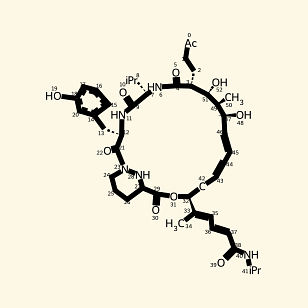 CC(=O)CC[C@H]1C(=O)N[C@@H](C(C)C)C(=O)N[C@@H](Cc2cccc(O)c2)C(=O)N2CCCC(N2)C(=O)O[C@H](/C(C)=C/C=C/C(=O)NC(C)C)C/C=C/C=C/[C@H](O)[C@H](C)[C@H]1O